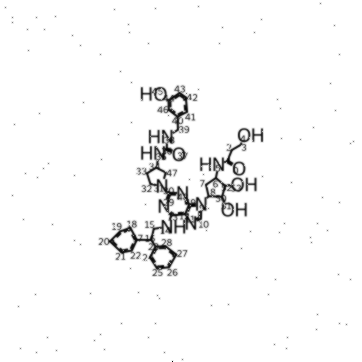 O=C(CCO)NC1CC(n2cnc3c(NCC(c4ccccc4)c4ccccc4)nc(N4CC[C@@H](NC(=O)NCc5cccc(O)c5)C4)nc32)C(O)C1O